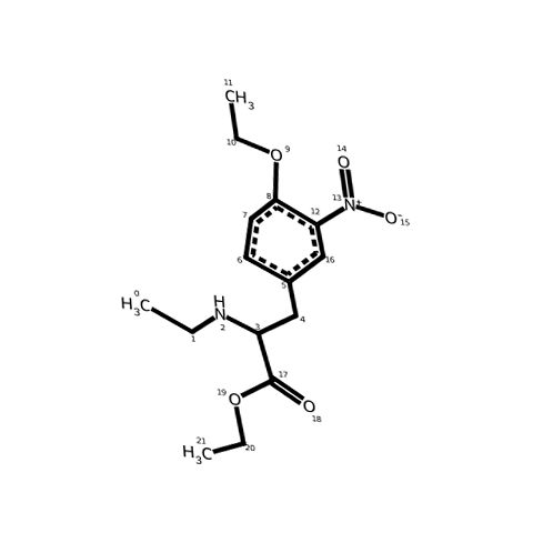 CCNC(Cc1ccc(OCC)c([N+](=O)[O-])c1)C(=O)OCC